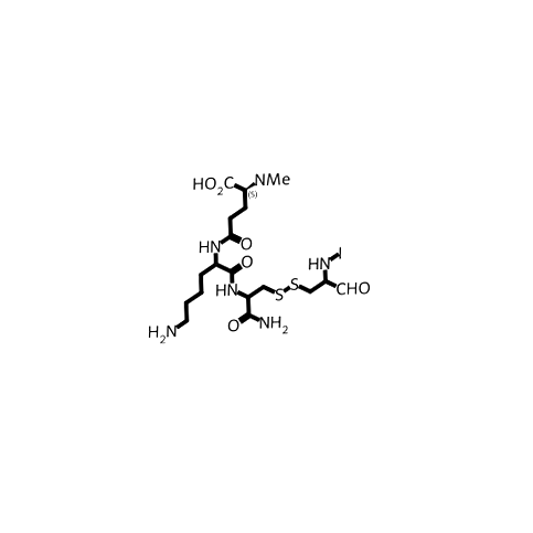 CN[C@@H](CCC(=O)NC(CCCCN)C(=O)NC(CSSCC(C=O)NI)C(N)=O)C(=O)O